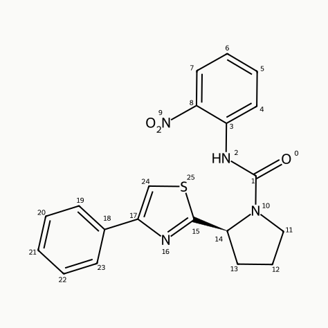 O=C(Nc1ccccc1[N+](=O)[O-])N1CCC[C@H]1c1nc(-c2ccccc2)cs1